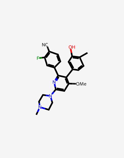 COc1cc(N2CCN(C)CC2)nc(-c2ccc(C#N)c(F)c2)c1-c1ccc(C)c(O)c1